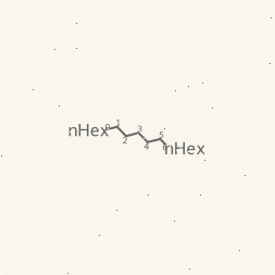 C[CH]CCCCCCCCCCCCCCC